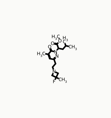 COC(=O)C(CC(C)C)n1nc(CCN2CC(C)(F)C2)cc(C)c1=O